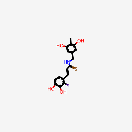 Cc1c(O)cc(CNC(=S)/C=C/c2ccc(O)c(O)c2I)cc1O